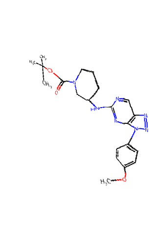 COc1ccc(-n2nnc3cnc(NC4CCCN(C(=O)OC(C)(C)C)C4)nc32)cc1